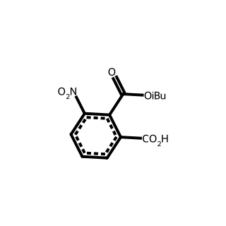 CC(C)COC(=O)c1c(C(=O)O)cccc1[N+](=O)[O-]